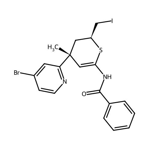 C[C@]1(c2cc(Br)ccn2)C=C(NC(=O)c2ccccc2)S[C@H](CI)C1